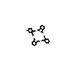 Nc1c(N)c(N)c2c3nc4nc(nc5[nH]c(nc6nc(nc([nH]3)c2c1N)-c1ccccc1-6)c1ccccc51)-c1ccccc1-4